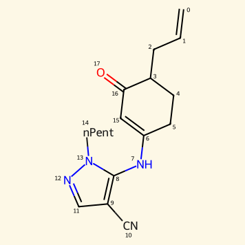 C=CCC1CCC(Nc2c(C#N)cnn2CCCCC)=CC1=O